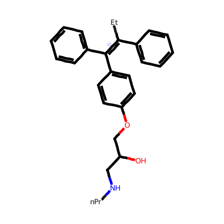 CCCNCC(O)COc1ccc(/C(=C(/CC)c2ccccc2)c2ccccc2)cc1